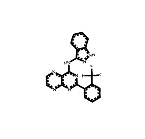 FC(F)(F)c1ccccc1-c1nc(Nc2n[nH]c3ccccc23)c2nccnc2n1